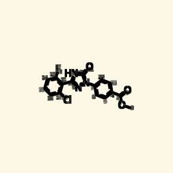 COC(=O)c1ccc(-n2nc(-c3c(F)cccc3Cl)[nH]c2=O)cc1